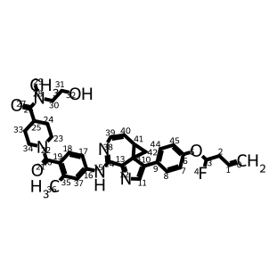 C=CCC(F)Oc1ccc(C2=CN=C3C(Nc4ccc(C(=O)N5CCC(C(=O)N(C)CCO)CC5)c(C)c4)=NC=CC4CC234)cc1